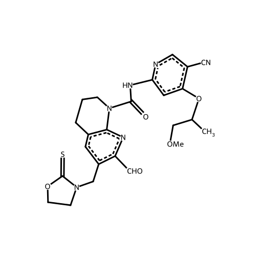 COCC(C)Oc1cc(NC(=O)N2CCCc3cc(CN4CCOC4=S)c(C=O)nc32)ncc1C#N